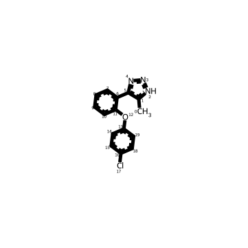 Cc1[nH]nnc1-c1ccccc1Oc1ccc(Cl)cc1